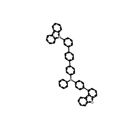 c1ccc(N(c2ccc(-c3ccc(-c4cccc(-n5c6ccccc6c6ccccc65)c4)cc3)cc2)c2ccc(-c3cccc4oc5ccccc5c34)cc2)cc1